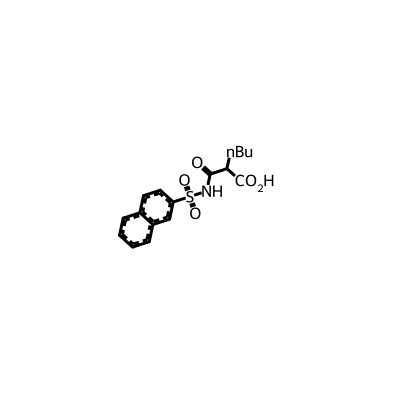 CCCCC(C(=O)O)C(=O)NS(=O)(=O)c1ccc2ccccc2c1